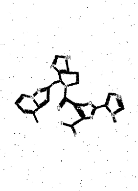 Cc1cccn2nc(C3c4nc[nH]c4CCN3C(=O)c3oc(-c4cncn4C)nc3C(F)F)cc12